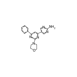 Nc1ncc(-c2cc(-c3ccccc3)nc(N3CCOCC3)n2)cn1